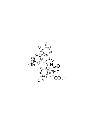 Cc1ccc(C2=NN(C(=O)C(F)(F)CC(=O)O)[C@@H](c3ccc(Cl)cc3)C2)c(-c2ccc(Cl)cc2)c1C